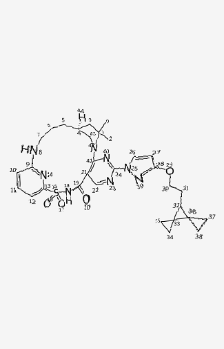 CC1(C)C[C@@H]2CCCNc3cccc(n3)S(=O)(=O)NC(=O)c3cnc(-n4ccc(OCCC5C6(CC6)C56CC6)n4)nc3N1C2